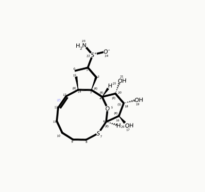 CC(C[C@H]1[C@H]2O[C@H](SCCCC/C=C\[C@H]1C)[C@H](O)[C@@H](O)[C@H]2O)[S+](N)[O-]